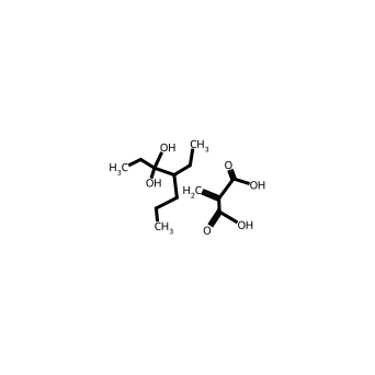 C=C(C(=O)O)C(=O)O.CCCC(CC)C(O)(O)CC